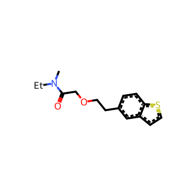 CCN(C)C(=O)COCCc1ccc2sccc2c1